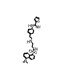 CN(C)c1cccc2c(S(=O)(=O)NCCNCCc3ccc(NC(=N)c4cccs4)cc3)cccc12